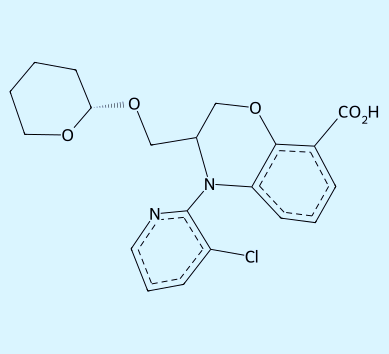 O=C(O)c1cccc2c1OCC(CO[C@H]1CCCCO1)N2c1ncccc1Cl